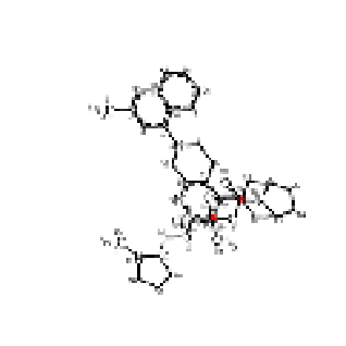 Cc1cc(N2CCc3c(nc(OC[C@@H]4CCCN4C)nc3N3CC4CCC(C3)N4C(=O)OC(C)(C)C)C2)c2ccccc2c1